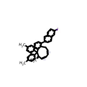 C=C1/C=C\C=C/Cc2c(-c3ccc4cc(I)ccc4c3)cccc2C1(c1ccc(C)cc1)c1ccc(C)cc1